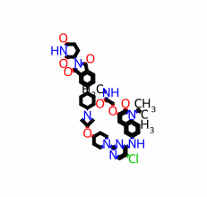 CNC(=O)COc1cc2cc(Nc3nc(N4CCC(OC5CN([C@H]6CC[C@H](c7ccc8c(c7)C(=O)N(C7CCC(=O)NC7=O)C8=O)CC6)C5)CC4)ncc3Cl)ccc2n(C(C)C)c1=O